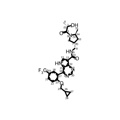 C[C@H](O)C(=O)N1C[C@@H](CNC(=O)c2c[nH]c3c(-c4cc(C(F)(F)F)ccc4OCC4CC4)ncnc23)C[C@@H]1C